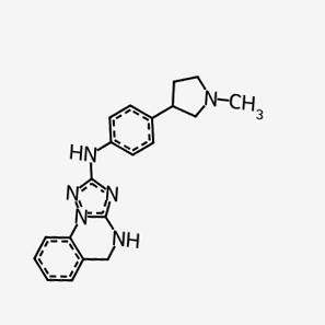 CN1CCC(c2ccc(Nc3nc4n(n3)-c3ccccc3CN4)cc2)C1